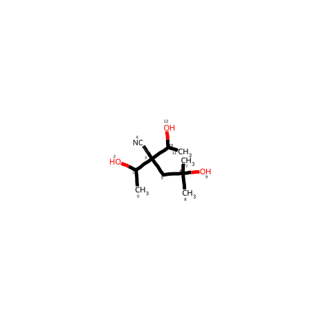 CC(O)C(C#N)(CC(C)(C)O)C(C)O